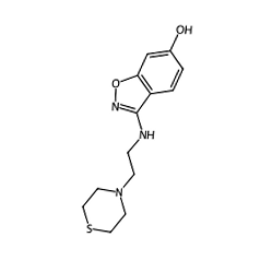 Oc1ccc2c(NCCN3CCSCC3)noc2c1